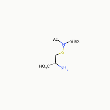 CCCCCCN(SC[C@H](N)C(=O)O)C(C)=O